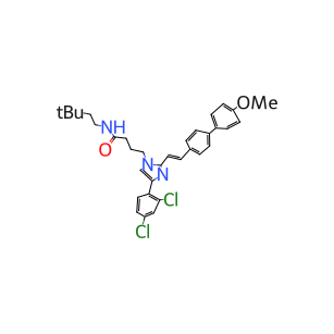 COc1ccc(-c2ccc(C=Cc3nc(-c4ccc(Cl)cc4Cl)cn3CCCC(=O)NCCC(C)(C)C)cc2)cc1